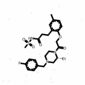 CC[C@@H]1CN(Cc2ccc(F)cc2)CCN1C(=O)COc1ccc(C)cc1CCC(=O)NS(C)(=O)=O